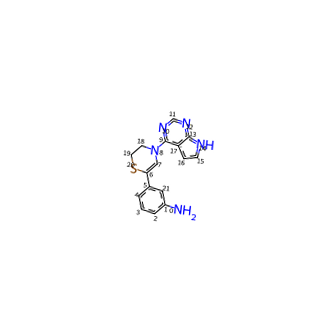 Nc1cccc(C2=CN(c3ncnc4[nH]ccc34)CCS2)c1